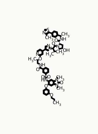 CCCOc1cccc(Oc2cc3c(cc2NS(=O)(=O)c2cccc(C(=O)NC[C@@H](C)Oc4cc(-c5cnn(C(C(=O)N6C[C@H](O)C[C@H]6C(=O)N[C@@H](C)c6ccc(-c7scnc7C)cc6)C(C)C)c5)ccn4)c2)n(C)c(=O)n3C)c1